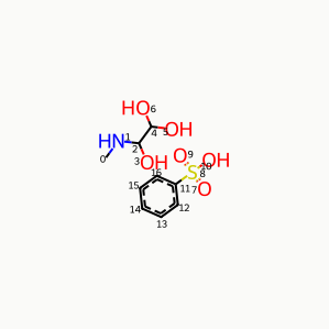 CNC(O)C(O)O.O=S(=O)(O)c1ccccc1